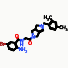 Cc1ccc(CN2C=C3CN(C(=O)CNC(=O)c4cc(Br)ccc4N)CC3C2)c(C)c1